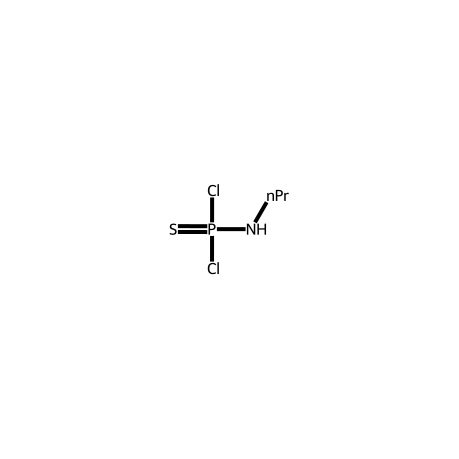 CCCNP(=S)(Cl)Cl